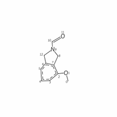 COc1cccc2c1CN(C=O)C2